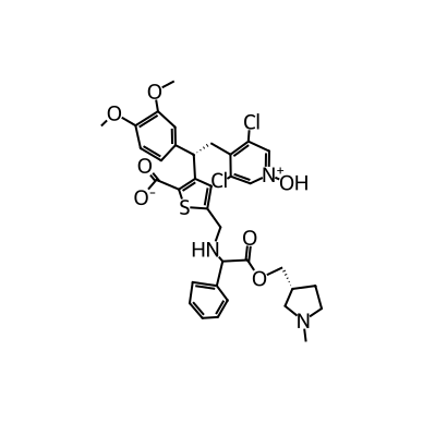 COc1ccc([C@H](Cc2c(Cl)c[n+](O)cc2Cl)c2cc(CNC(C(=O)OC[C@@H]3CCN(C)C3)c3ccccc3)sc2C(=O)[O-])cc1OC